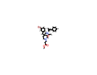 COC(=O)CCN1CCC(Cc2cccc(Br)c2)(CN(C(C)=O)[C@@H]2CC2c2ccccc2)CC1